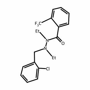 CCN(Cc1ccccc1Cl)N(CC)C(=O)c1ccccc1C(F)(F)F